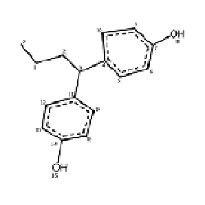 CC[CH]C(c1ccc(O)cc1)c1ccc(O)cc1